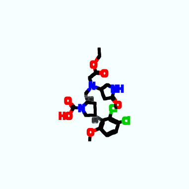 CCOC(=O)CN(C[C@@H]1C[C@H](c2c(OC)ccc(Cl)c2Cl)CN1C(=O)O)C1CNC(=O)C1